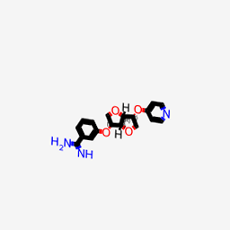 N=C(N)c1cccc(O[C@H]2CO[C@H]3[C@@H]2OC[C@H]3Oc2ccncc2)c1